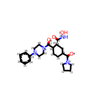 O=C(NO)[C@H]1CC(C(=O)N2CCCC2)CCC1C(=O)N1CCN(c2ccccc2)CC1